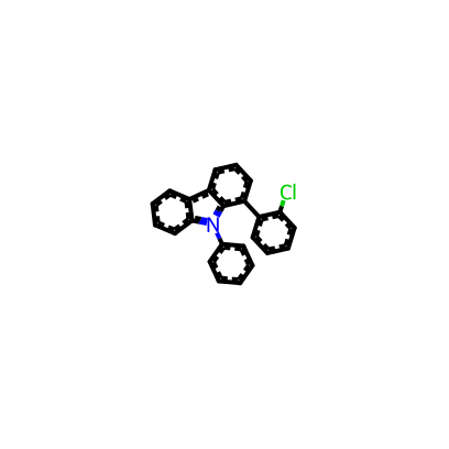 Clc1ccccc1-c1cccc2c3ccccc3n(-c3ccccc3)c12